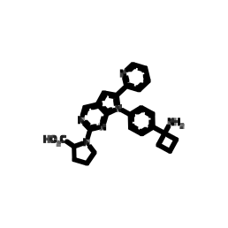 NC1(c2ccc(-n3c(-c4ccccn4)cc4cnc(N5CCCC5C(=O)O)nc43)cc2)CCC1